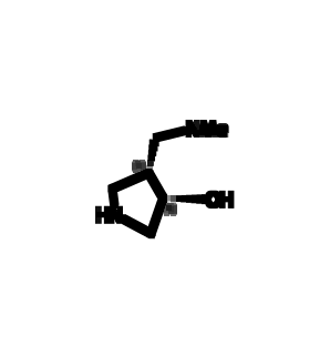 CNC[C@H]1CNC[C@H]1O